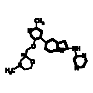 Cc1cc(-c2ccn3nc(Nc4cnccn4)cc3c2)c(OC[C@@H]2CN(C)CCO2)cn1